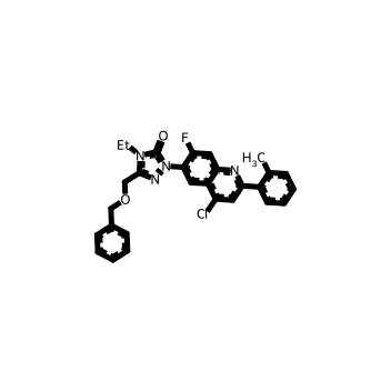 CCn1c(COCc2ccccc2)nn(-c2cc3c(Cl)cc(-c4ccccc4C)nc3cc2F)c1=O